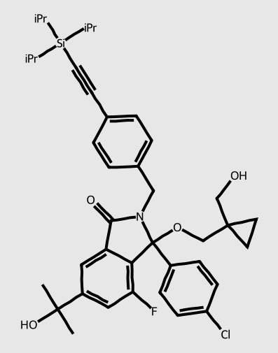 CC(C)[Si](C#Cc1ccc(CN2C(=O)c3cc(C(C)(C)O)cc(F)c3C2(OCC2(CO)CC2)c2ccc(Cl)cc2)cc1)(C(C)C)C(C)C